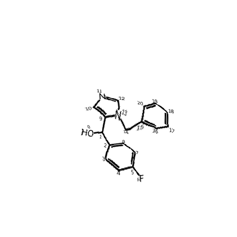 OC(c1ccc(F)cc1)c1cncn1Cc1ccccc1